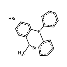 Br.CC(Br)c1ccccc1P(c1ccccc1)c1ccccc1